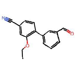 CCOc1cc(C#N)ccc1-c1cccc(C=O)c1